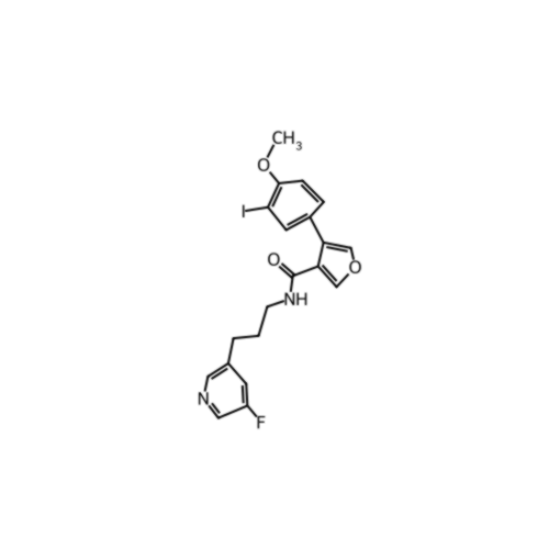 COc1ccc(-c2cocc2C(=O)NCCCc2cncc(F)c2)cc1I